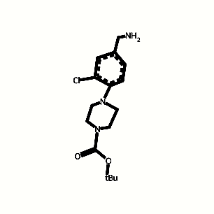 CC(C)(C)OC(=O)N1CCN(c2ccc(CN)cc2Cl)CC1